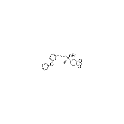 C#CC(CCC)(CCCc1cccc(Oc2ccccc2)c1)c1ccc2c(c1)OCO2